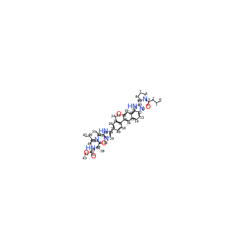 CCCC(=O)N1CCC[C@H]1c1nc2ccc3cc4c(cc3c2[nH]1)OCc1cc(-c2cnc([C@H](C)N(C(=O)[C@H](C)NC(=O)OC)[C@@H](C)CC)[nH]2)ccc1-4